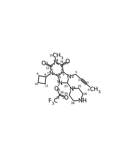 CC#CCN1c2c(n(C3CCC3)c(=O)n(C)c2=O)N(OC(=O)C(F)(F)F)C1N1CCNCC1